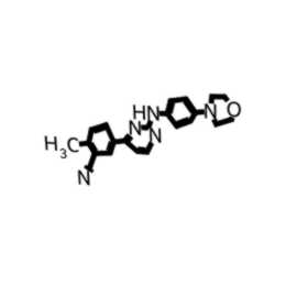 Cc1ccc(-c2ccnc(Nc3ccc(N4CCOCC4)cc3)n2)cc1C#N